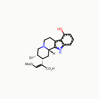 CC[C@@H]1CN2CCc3c([nH]c4cccc(O)c34)[C@@H]2C[C@@H]1/C(=C\OC)C(=O)O